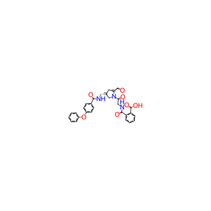 O=C[C@@H]1C[C@@H](CNC(=O)c2ccc(Oc3ccccc3)cc2)CN1C(=O)CNC(=O)c1ccccc1C(=O)O